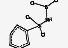 ClB(Cl)N[Si](Cl)(Cl)c1ccccc1